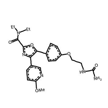 CCN(CC)C(=O)c1nc(-c2ccc(OC)nc2)c(-c2ccc(OCCNC(N)=O)cc2)o1